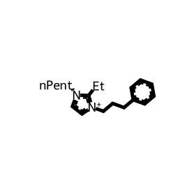 CCCCCn1cc[n+](CCCc2ccccc2)c1CC